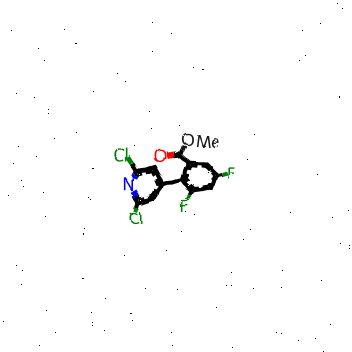 COC(=O)c1cc(F)cc(F)c1-c1cc(Cl)nc(Cl)c1